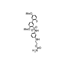 COc1ccc(F)c(-c2ccc(OC)c(S(=O)(=O)Nc3cccc(NCCOC(N)=O)c3)c2)c1